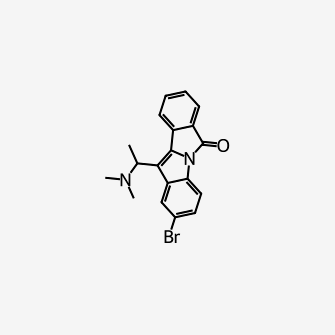 CC(c1c2n(c3ccc(Br)cc13)C(=O)c1ccccc1-2)N(C)C